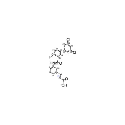 O=C(O)/C=C/c1cccc(NC(=O)c2cc(-c3cc(Cl)cc(Cl)c3)ccc2F)c1